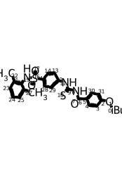 CCC(C)Oc1ccc(C(=O)NC(=S)Nc2ccc(S(=O)(=O)Nc3c(C)cccc3C)cc2)cc1